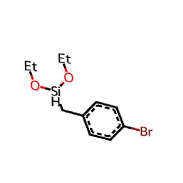 CCO[SiH](Cc1ccc(Br)cc1)OCC